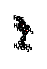 Cc1cccc(-c2cnn(Cc3cc(F)ccc3F)c2)c1-c1c(-c2cccc(N3CCN(C(=O)OC(C)(C)C)CC3)c2)cnc2[nH]ccc12